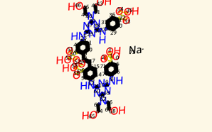 O=S(=O)(O)c1ccc(Nc2nc(Nc3ccc(C=Cc4ccc(Nc5nc(Nc6ccc(S(=O)(=O)O)cc6)nc(N(CCO)CCO)n5)cc4S(=O)(=O)O)c(S(=O)(=O)O)c3)nc(N(CCO)CCO)n2)cc1.[Na]